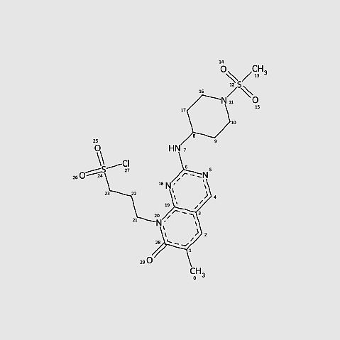 Cc1cc2cnc(NC3CCN(S(C)(=O)=O)CC3)nc2n(CCCS(=O)(=O)Cl)c1=O